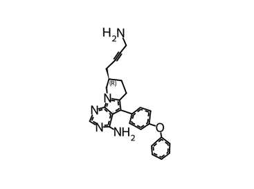 NCC#CC[C@H]1CCc2c(-c3ccc(Oc4ccccc4)cc3)c3c(N)ncnc3n2C1